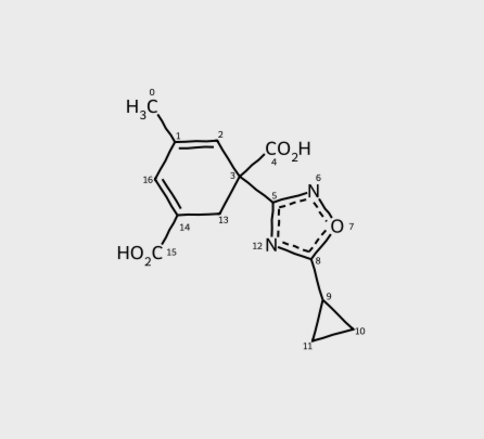 CC1=CC(C(=O)O)(c2noc(C3CC3)n2)CC(C(=O)O)=C1